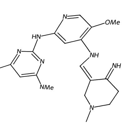 CNc1cc(C)nc(Nc2cc(N/C=C3/CN(C)CCC3=N)c(OC)cn2)n1